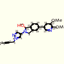 CCC#CCn1cc(N2Cc3cc(-c4cnc(OC)c(OC)c4)ccc3C2O)cn1